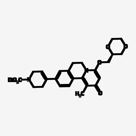 CCOC(=O)N1CC=C(c2ccc3c(c2)CCn2c(OC[C@@H]4COCCO4)cc(=O)c(C)c2-3)CC1